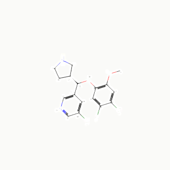 COc1cc(Cl)c(F)cc1OC(c1cncc(Cl)c1)[C@H]1CCNC1